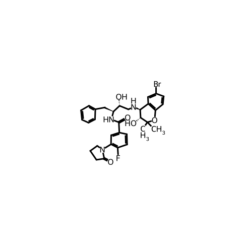 CC1(C)Oc2ccc(Br)cc2[C@H](NC[C@@H](O)[C@H](Cc2ccccc2)NC(=O)c2ccc(F)c(N3CCCC3=O)c2)[C@H]1O